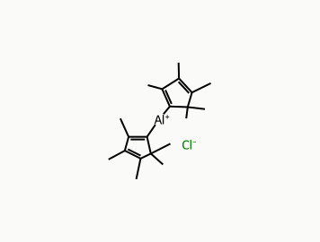 CC1=C(C)C(C)(C)[C]([Al+][C]2=C(C)C(C)=C(C)C2(C)C)=C1C.[Cl-]